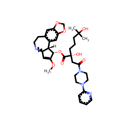 COC1=C[C@]23CCCN2CCc2cc4c(cc2[C@@H]3[C@@H]1OC(=O)[C@@](O)(CCCC(C)(C)O)CC(=O)N1CCN(c2ccccn2)CC1)OCO4